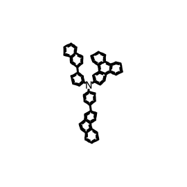 c1cc(-c2ccc3ccccc3c2)cc(N(c2ccc(-c3ccc4c(ccc5ccccc54)c3)cc2)c2ccc3c4ccccc4c4ccccc4c3c2)c1